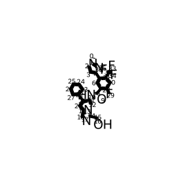 Cn1ccc(-c2cc(C(=O)Nc3cn4c(CO)ncc4cc3-c3ccccc3)c(F)cc2C(F)(F)F)n1